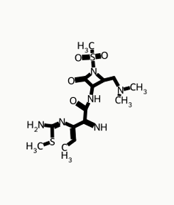 C/C=C(\N=C(\N)SC)C(=N)C(=O)NC1C(=O)N(S(C)(=O)=O)C1CN(C)C